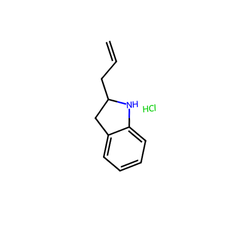 C=CCC1Cc2ccccc2N1.Cl